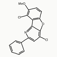 COc1ccc2oc3c(Cl)cc(-c4ccccc4)nc3c2c1Cl